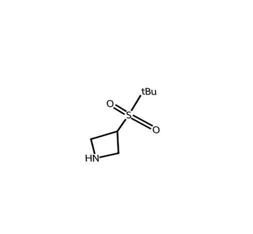 CC(C)(C)S(=O)(=O)C1CNC1